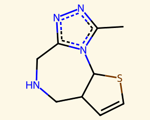 Cc1nnc2n1C1SC=CC1CNC2